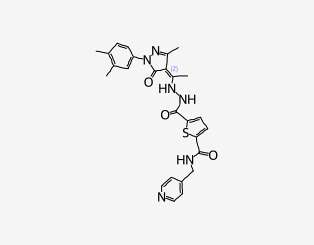 CC1=NN(c2ccc(C)c(C)c2)C(=O)/C1=C(/C)NNC(=O)c1ccc(C(=O)NCc2ccncc2)s1